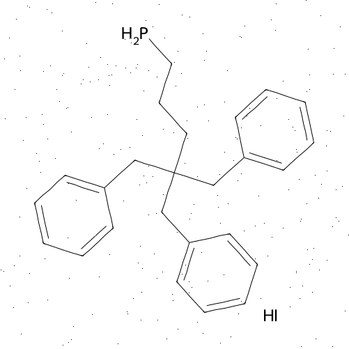 I.PCCCC(Cc1ccccc1)(Cc1ccccc1)Cc1ccccc1